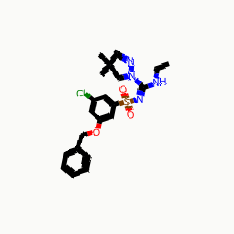 CCN/C(=N/S(=O)(=O)c1cc(Cl)cc(OCc2ccccc2)c1)N1CC(C)(C)C=N1